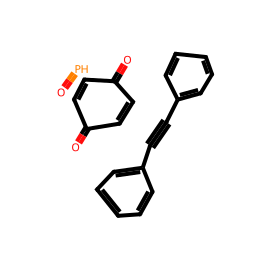 C(#Cc1ccccc1)c1ccccc1.O=C1C=CC(=O)C=C1.O=P